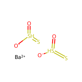 O=[SH]([O-])=S.O=[SH]([O-])=S.[Ba+2]